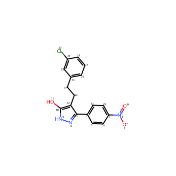 O=[N+]([O-])c1ccc(-c2n[nH]c(O)c2CCc2cccc(Cl)c2)cc1